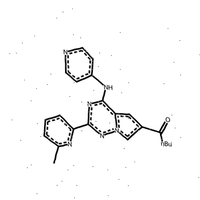 CCCCC(=O)c1cc2c(Nc3ccncc3)nc(-c3cccc(C)n3)nn2c1